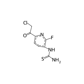 NC(=S)Nc1ccc(C(=O)CCl)nc1F